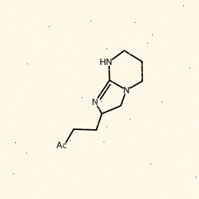 CC(=O)CCC1CN2CCCNC2=N1